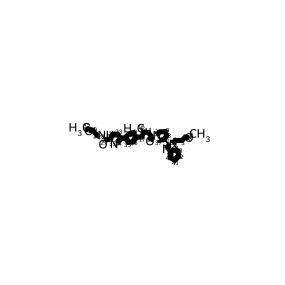 COCCCn1c([C@@H]2CCCN(C(=O)C[C@H](C)Cc3ccc(-c4ccc(C(=O)NCCOC)nc4)cc3)C2)nc2ccccc21